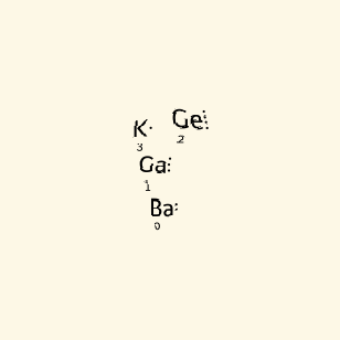 [Ba].[Ga].[Ge].[K]